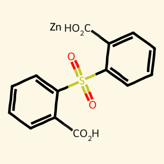 O=C(O)c1ccccc1S(=O)(=O)c1ccccc1C(=O)O.[Zn]